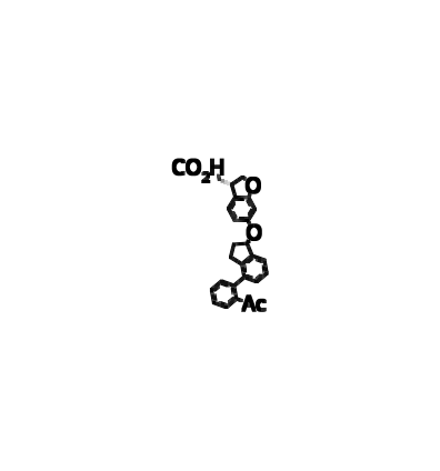 CC(=O)c1ccccc1-c1cccc2c1CC[C@H]2Oc1ccc2c(c1)OC[C@H]2CC(=O)O